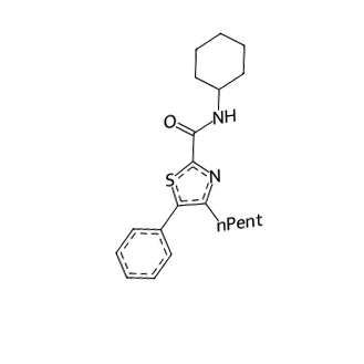 CCCCCc1nc(C(=O)NC2CCCCC2)sc1-c1ccccc1